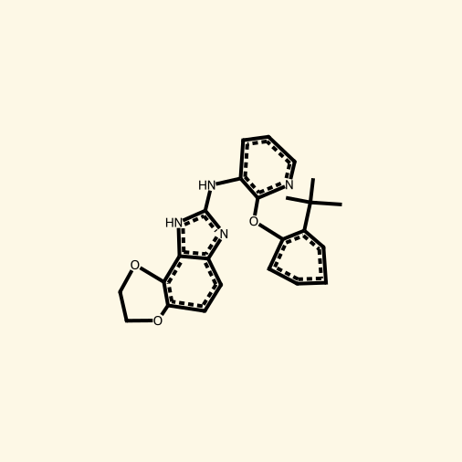 CC(C)(C)c1ccccc1Oc1ncccc1Nc1nc2ccc3c(c2[nH]1)OCCO3